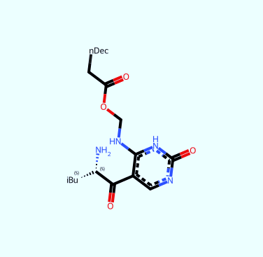 CCCCCCCCCCCC(=O)OCNc1[nH]c(=O)ncc1C(=O)[C@@H](N)[C@@H](C)CC